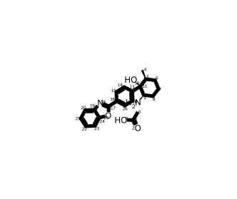 CC(=O)O.C[C@H]1CCC[C@H](N)[C@@]1(O)c1ccc(-c2nc3ccccc3o2)cc1